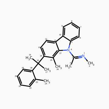 C/N=C(\C)n1c2ccccc2c2ccc(C(C)(C)c3ccccc3C)c(C)c21